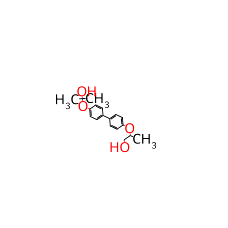 CC(CO)Oc1ccc(-c2ccc(OC(C)(C)O)cc2)cc1